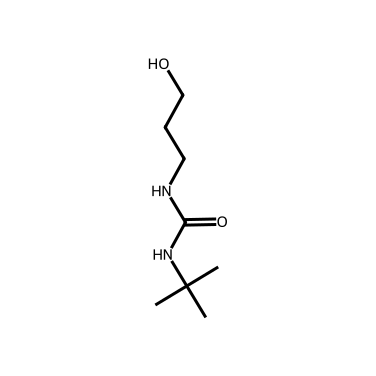 CC(C)(C)NC(=O)NCCCO